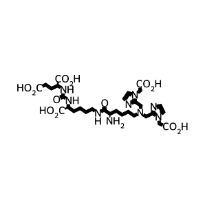 N[C@@H](CCCCN(Cc1nccn1CC(=O)O)Cc1nccn1CC(=O)O)C(=O)NCCCC[C@H](NC(=O)N[C@@H](CCC(=O)O)C(=O)O)C(=O)O